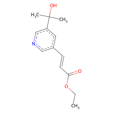 CCOC(=O)/C=C/c1cncc(C(C)(C)O)c1